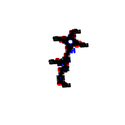 CC(C)(C)OC(=O)C[C@H](NC(=O)[C@@H]1CCCN(C(=O)CCC2CCN(C(=O)OC(C)(C)C)CC2)C1)c1cncc(OCCNC(=O)CN2CCN(CC(=O)OC(C)(C)C)CCN(CC(=O)OC(C)(C)C)CCN(CC(=O)OC(C)(C)C)CC2)c1